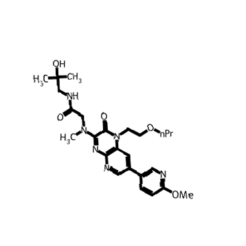 CCCOCCn1c(=O)c(N(C)CC(=O)NCC(C)(C)O)nc2ncc(-c3ccc(OC)nc3)cc21